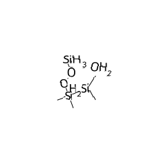 C[SiH2]C.C[Si](C)(C)OO[SiH3].O